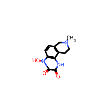 CN1CCc2c(ccc3c2[nH]c(=O)c(=O)n3O)C1